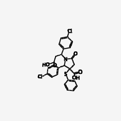 O=C(O)CC(c1ccc(Cl)cc1)N1C(=O)CC(Sc2ccccc2)(C(=O)O)C1c1ccc(Cl)cc1